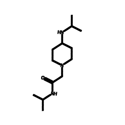 CC(C)NC(=O)CN1CCC(NC(C)C)CC1